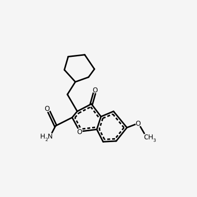 COc1ccc2oc(C(N)=O)c(CC3CCCCC3)c(=O)c2c1